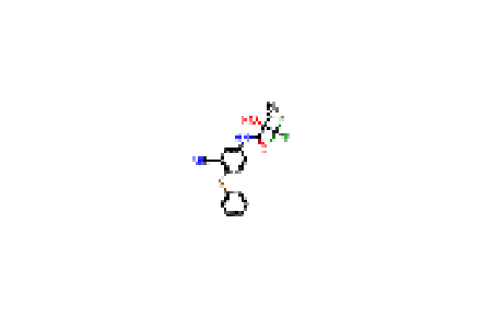 CC(O)(C(=O)Nc1ccc(Sc2ccccc2)c(C#N)c1)C(F)(F)F